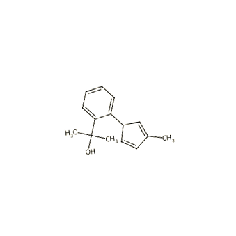 CC1=CC(c2ccccc2C(C)(C)O)C=C1